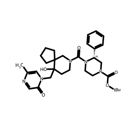 Cc1cn(CC2(O)CCN(C(=O)N3CCN(C(=O)OC(C)(C)C)C[C@H]3c3ccccc3)CC23CCCC3)c(=O)cn1